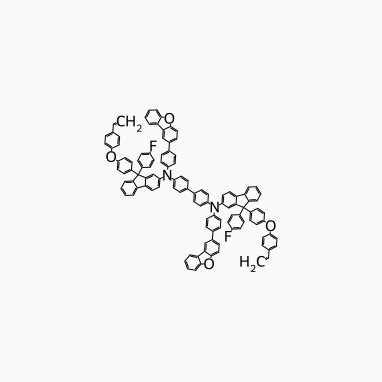 C=Cc1ccc(Oc2ccc(C3(c4ccc(F)cc4)c4ccccc4-c4ccc(N(c5ccc(-c6ccc(N(c7ccc(-c8ccc9oc%10ccccc%10c9c8)cc7)c7ccc8c(c7)C(c7ccc(F)cc7)(c7ccc(Oc9ccc(C=C)cc9)cc7)c7ccccc7-8)cc6)cc5)c5ccc(-c6ccc7oc8ccccc8c7c6)cc5)cc43)cc2)cc1